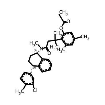 CCC(=O)Oc1cc(C)cc(C)c1C(C)(C)CC(=O)N(C)[C@H]1CC[C@@H](c2ccc(C)c(Cl)c2)c2ccccc21